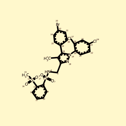 Cc1c(CNS(=O)(=O)c2ccccc2S(C)(=O)=O)nn(-c2ccc(Cl)cc2Cl)c1-c1ccc(Br)cc1